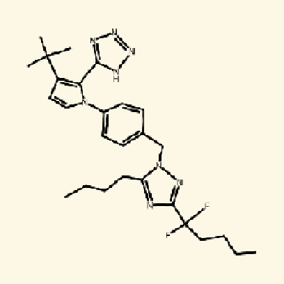 CCCCc1nc(C(F)(F)CCCC)nn1Cc1ccc(-n2ccc(C(C)(C)C)c2-c2nnn[nH]2)cc1